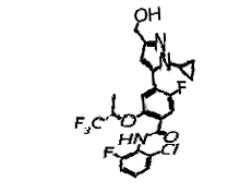 C[C@H](Oc1cc(-c2cc(CO)nn2C2CC2)c(F)cc1C(=O)Nc1c(F)cccc1Cl)C(F)(F)F